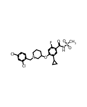 CS(=O)(=O)NC(=O)c1cc(C2CC2)c(OC2CCCN(Cc3ccc(Cl)cc3Cl)C2)cc1F